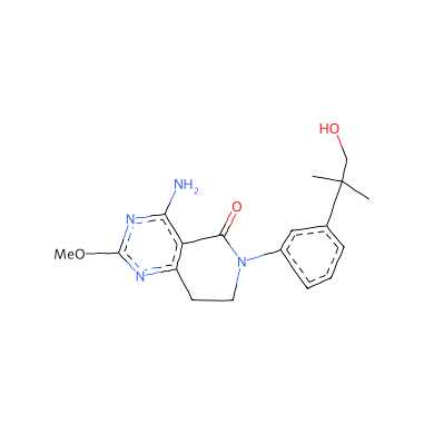 COc1nc(N)c2c(n1)CCN(c1cccc(C(C)(C)CO)c1)C2=O